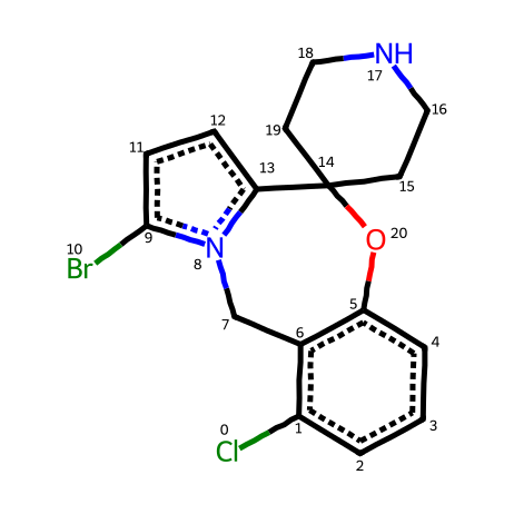 Clc1cccc2c1Cn1c(Br)ccc1C1(CCNCC1)O2